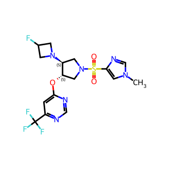 Cn1cnc(S(=O)(=O)N2C[C@H](Oc3cc(C(F)(F)F)ncn3)[C@@H](N3CC(F)C3)C2)c1